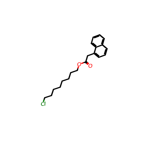 O=C(Cc1cccc2ccccc12)OCCCCCCCCCl